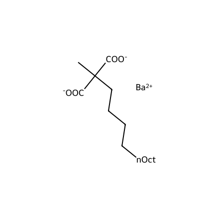 CCCCCCCCCCCCC(C)(C(=O)[O-])C(=O)[O-].[Ba+2]